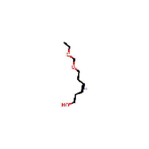 CCOCOCC/C=C\CCO